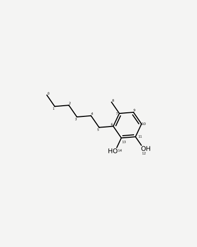 CCCCCCc1c(C)ccc(O)c1O